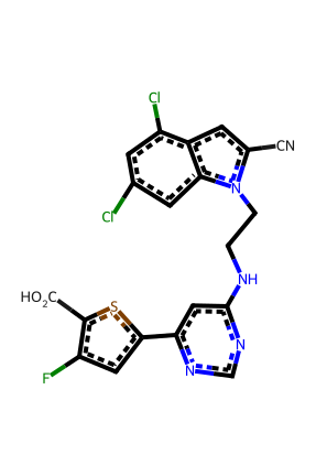 N#Cc1cc2c(Cl)cc(Cl)cc2n1CCNc1cc(-c2cc(F)c(C(=O)O)s2)ncn1